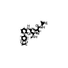 CNc1cc(Nc2cccn(C3CCC4(CC3)OCCO4)c2=O)nc2c(C(=O)NC3C[C@@H]3F)cnn12